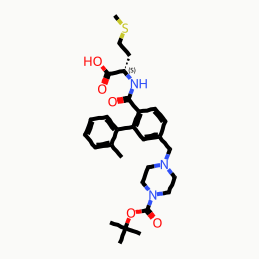 CSCC[C@H](NC(=O)c1ccc(CN2CCN(C(=O)OC(C)(C)C)CC2)cc1-c1ccccc1C)C(=O)O